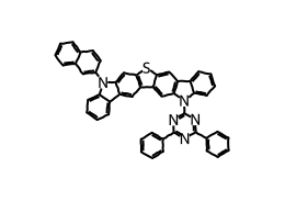 c1ccc(-c2nc(-c3ccccc3)nc(-n3c4ccccc4c4cc5sc6cc7c(cc6c5cc43)c3ccccc3n7-c3ccc4ccccc4c3)n2)cc1